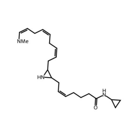 CN/C=C\C/C=C\C/C=C\CC1NC1C/C=C\CCCC(=O)NC1CC1